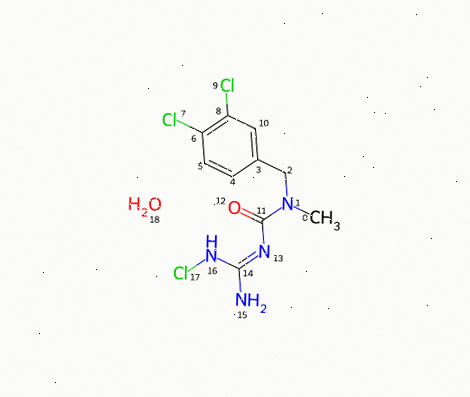 CN(Cc1ccc(Cl)c(Cl)c1)C(=O)N=C(N)NCl.O